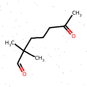 CC(=O)CCCC(C)(C)C=O